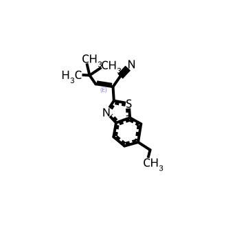 CCc1ccc2nc(/C(C#N)=C/C(C)(C)C)sc2c1